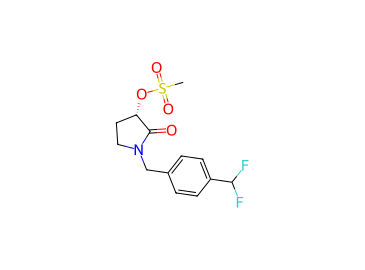 CS(=O)(=O)O[C@H]1CCN(Cc2ccc(C(F)F)cc2)C1=O